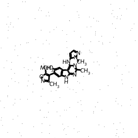 COc1cc2c(cc1-c1c(C)noc1C)[nH]c1nc(C)nc(Nc3ccnn3C)c12